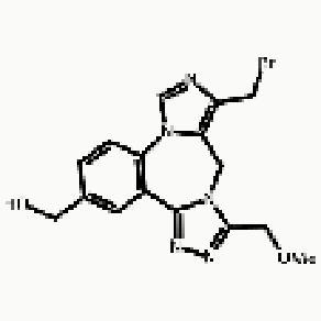 COCc1nnc2n1Cc1c(CBr)ncn1-c1ccc(CO)cc1-2